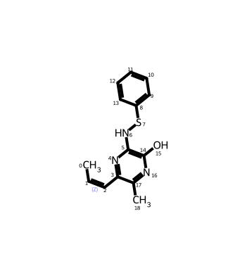 C/C=C\c1nc(NSc2ccccc2)c(O)nc1C